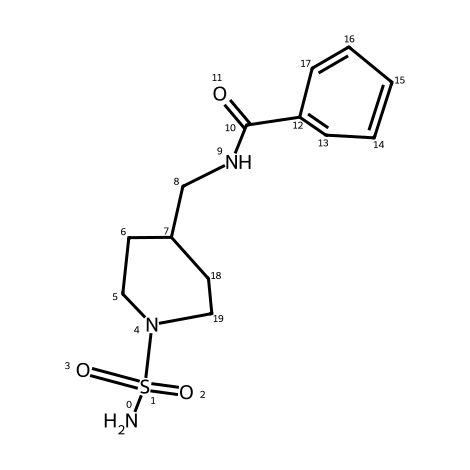 NS(=O)(=O)N1CCC(CNC(=O)c2ccccc2)CC1